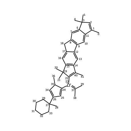 CC1=CC(C)(C)c2cc3c(cc21)-c1cc2c(cc1C3)C(C)(C)[C]([Zr]([C]1=CC(C3(C)CCCCC3)=CC1C)=[C](C)C)=C2C